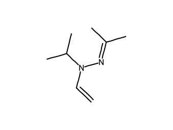 C=CN(N=C(C)C)C(C)C